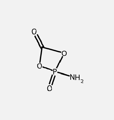 NP1(=O)OC(=O)O1